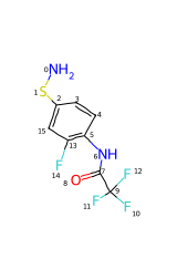 NSc1ccc(NC(=O)C(F)(F)F)c(F)c1